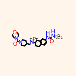 CCCN(CC1CCN(C(=O)N2CCOCC2)CC1)C1CCc2ccc(NC(=O)NC(C)(C)C)cc2C1